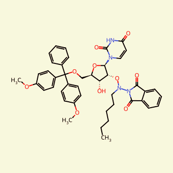 CCCCCCN(O[C@@H]1[C@H](O)[C@@H](COC(c2ccccc2)(c2ccc(OC)cc2)c2ccc(OC)cc2)O[C@H]1n1ccc(=O)[nH]c1=O)N1C(=O)c2ccccc2C1=O